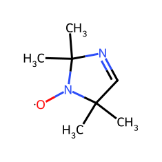 CC1(C)C=NC(C)(C)N1[O]